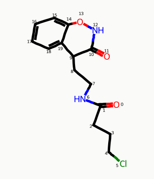 O=C(CCCCl)NCCC1C(=O)NOc2ccccc21